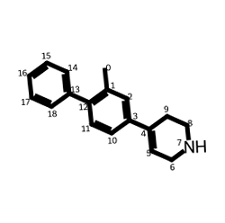 Cc1cc(C2=CCNCC2)ccc1-c1ccccc1